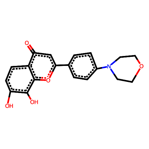 O=c1cc(-c2ccc(N3CCOCC3)cc2)oc2c(O)c(O)ccc12